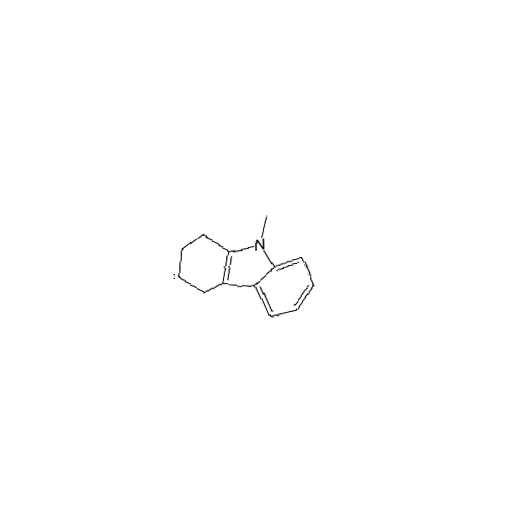 Cn1c2c(c3ccccc31)C[C]CC2